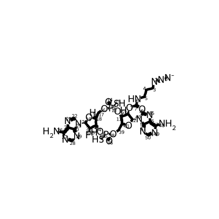 [N-]=[N+]=NCCCNC(=O)O[C@@H]1[C@@H]2O[P@](=O)(S)OC[C@H]3O[C@@H](n4cnc5c(N)ncnc54)[C@H](F)[C@@H]3O[P@](=O)(S)OCC2O[C@H]1n1cnc2c(N)ncnc21